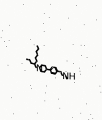 CCCCCCC(CCC)CN1CCC(c2ccc(CCNC)cc2)CC1